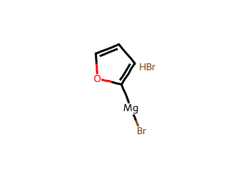 Br.[Br][Mg][c]1ccco1